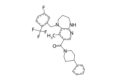 Cc1c(C(=O)N2CCC(c3ccccc3)CC2)cnc2c1N(Cc1cc(F)ccc1C(F)(F)F)CCCN2